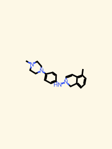 Cc1cccc2c1C=CN(Nc1ccc(N3CCN(C)CC3)cc1)C2